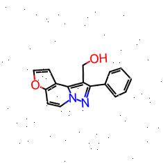 OCc1c(-c2ccccc2)nn2ccc3occc3c12